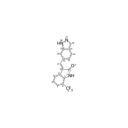 O=C1Nc2c(cccc2C(F)(F)F)C1=Cc1ccc2cn[nH]c2c1